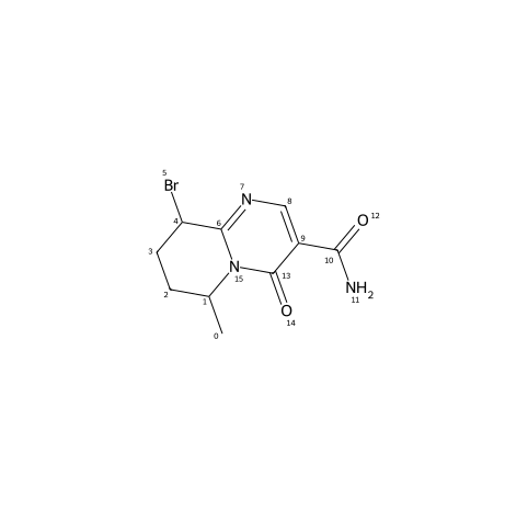 CC1CCC(Br)c2ncc(C(N)=O)c(=O)n21